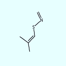 C=NSC=C(C)C